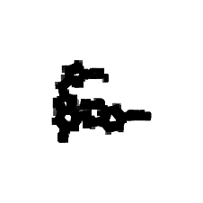 COc1ccc(CNc2nc(Cl)cc3nn(Cc4ccn(C)n4)nc23)c(OC)c1